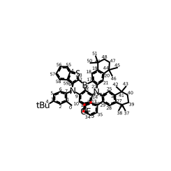 Cc1cc(C(C)(C)C)ccc1N1c2cc(C(F)(F)F)cc3c2B(c2cc4c(cc2N3c2cc3c(cc2-c2ccccc2)C(C)(C)CCC3(C)C)C(C)(C)CCC4(C)C)c2sc3ccccc3c21